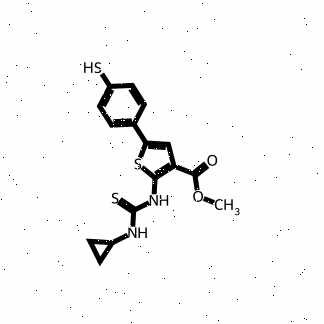 COC(=O)c1cc(-c2ccc(S)cc2)sc1NC(=S)NC1CC1